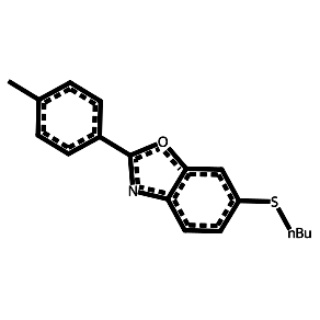 CCCCSc1ccc2nc(-c3ccc(C)cc3)oc2c1